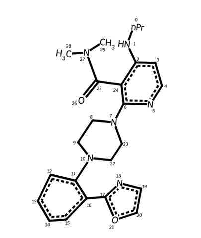 CCCNc1ccnc(N2CCN(c3ccccc3-c3ncco3)CC2)c1C(=O)N(C)C